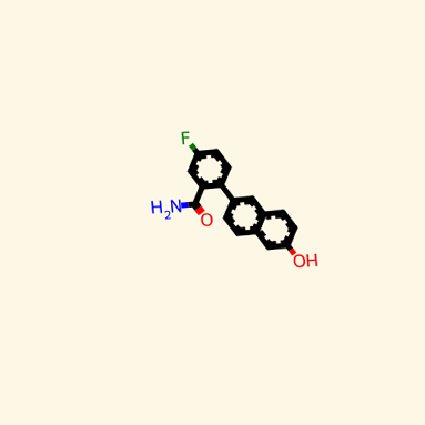 NC(=O)c1cc(F)ccc1-c1ccc2cc(O)ccc2c1